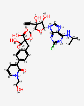 C#C[C@@]1(O)[C@@H](COC(Cc2ccc(-c3cccn(CCO)c3=O)cc2)(C(=O)O)C(=O)O)O[C@@H](n2cnc3c(NC(C)C)nc(Cl)nc32)[C@@H]1O